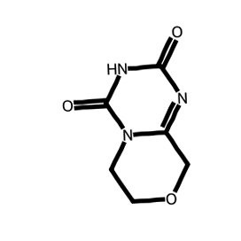 O=c1nc2n(c(=O)[nH]1)CCOC2